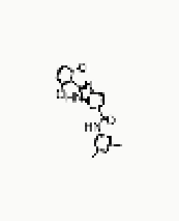 Cc1cc(C)cc(NC(=O)c2ccc3nc(-c4c(Cl)cccc4Cl)[nH]c3c2)c1